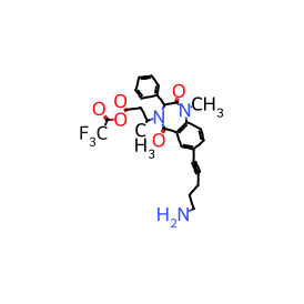 CC(CC(=O)OC(=O)C(F)(F)F)N1C(=O)c2cc(C#CCCCN)ccc2N(C)C(=O)C1c1ccccc1